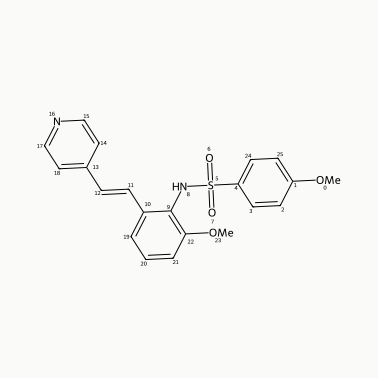 COc1ccc(S(=O)(=O)Nc2c(C=Cc3ccncc3)cccc2OC)cc1